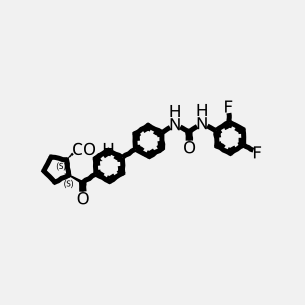 O=C(Nc1ccc(-c2ccc(C(=O)[C@H]3CCC[C@@H]3C(=O)O)cc2)cc1)Nc1ccc(F)cc1F